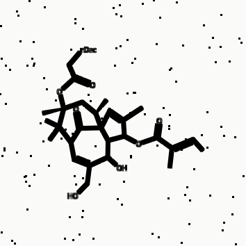 C/C=C(\C)C(=O)OC1C(C)=CC23C(=O)C(C=C(CO)C(O)C12)C(C)(C)[C@](C)(OC(=O)CCCCCCCCCCC)C[C@H]3C